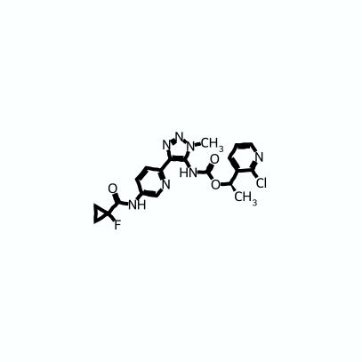 C[C@@H](OC(=O)Nc1c(-c2ccc(NC(=O)C3(F)CC3)cn2)nnn1C)c1cccnc1Cl